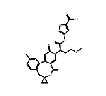 COCCC(C(=O)Nc1csc(C(=O)O)c1)n1cc2c(cc1=O)-c1cc(Cl)ccc1CC1(CC1)NC2=O